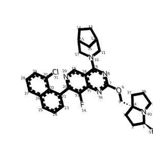 CC[C@H]1CC[C@@]2(COc3nc(N4CC5CCC(C5)C4)c4cnc(-c5cccc6cccc(Cl)c56)c(F)c4n3)CCCN12